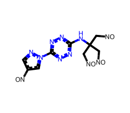 O=NCC(CN=O)(CN=O)Nc1nnc(-n2cc(N=O)cn2)nn1